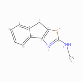 N#CNc1nc2c(s1)Cc1ccccc1-2